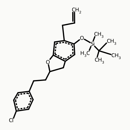 C=CCc1cc2c(cc1O[Si](C)(C)C(C)(C)C)CC(CCc1ccc(Cl)cc1)O2